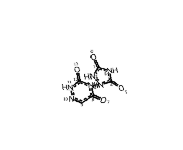 O=c1[nH][nH]c(=O)[nH]1.O=c1cn[nH]c(=O)[nH]1